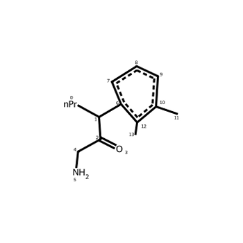 CCCC(C(=O)CN)c1cccc(C)c1C